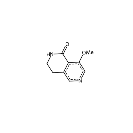 COc1cncc2c1C(=O)NCC2